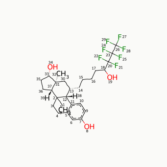 C=CC12CCc3cc(O)ccc3[C@H]1[C@@H](CCCCC(O)C(F)(F)C(F)(F)C(F)(F)F)C[C@]1(C)[C@@H](O)CC[C@@H]21